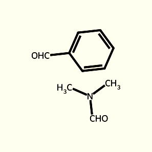 CN(C)C=O.O=Cc1ccccc1